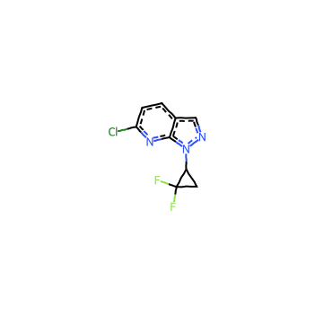 FC1(F)CC1n1ncc2ccc(Cl)nc21